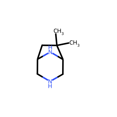 CC1(C)CC2CNCC1N2